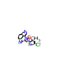 Cc1cc(Cl)cnc1N1C[C@H](C#N)N(c2cncc3ccccc23)C1=O